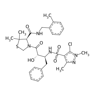 Cc1ccccc1CNC(=O)[C@H]1N(C(=O)[C@@H](O)[C@H](Cc2ccccc2)NS(=O)(=O)c2c(C)nn(C)c2Cl)CSC1(C)C